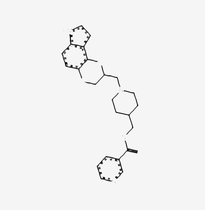 O=C(NCC1CCN(CC2COc3ccc4[nH]ccc4c3O2)CC1)c1cccnc1